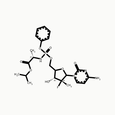 CC(C)OC(=O)[C@H](C)NP(=O)(OCC1OC(n2ccc(N)nc2=O)[C@](C)(F)[C@@H]1O)Oc1ccccc1